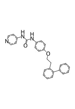 O=C(Nc1ccncc1)Nc1ccc(OCCc2ccccc2-c2ccccc2)cc1